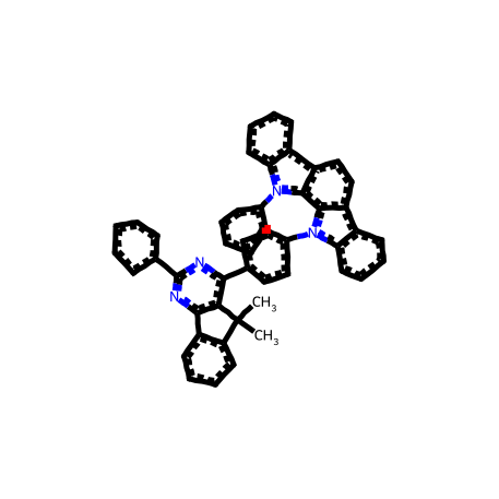 CC1(C)c2ccccc2-c2nc(-c3ccccc3)nc(-c3ccc(-n4c5ccccc5c5ccc6c7ccccc7n(-c7ccccc7)c6c54)cc3)c21